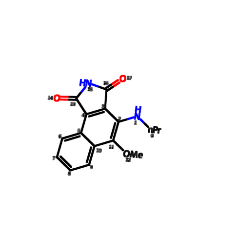 CCCNc1c2c(c3ccccc3c1OC)C(=O)NC2=O